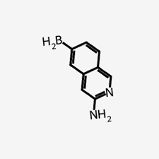 Bc1ccc2cnc(N)cc2c1